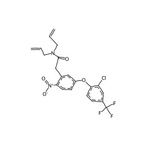 C=CCN(CC=C)C(=O)Cc1cc(Oc2ccc(C(F)(F)F)cc2Cl)ccc1[N+](=O)[O-]